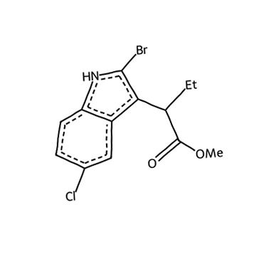 CCC(C(=O)OC)c1c(Br)[nH]c2ccc(Cl)cc12